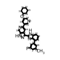 Cc1cc(F)cc(-c2cccc3[nH]c(-c4n[nH]c5cnc(-c6cncc(OC7CCCCC7)c6)cc45)nc23)c1